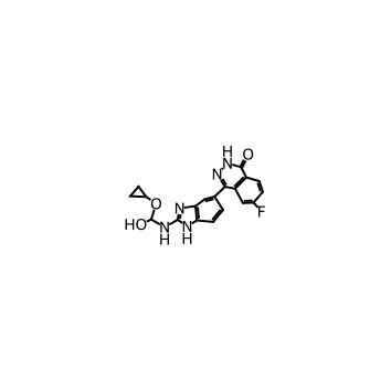 O=c1[nH]nc(-c2ccc3[nH]c(NC(O)OC4CC4)nc3c2)c2cc(F)ccc12